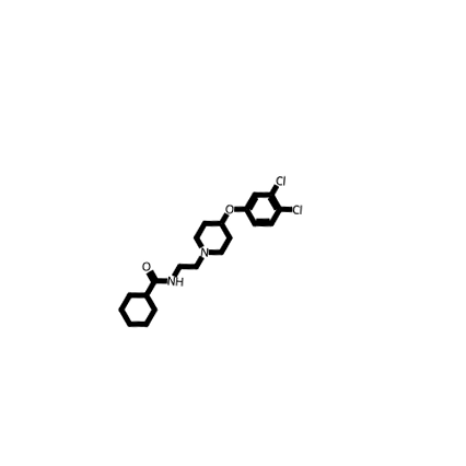 O=C(NCCN1CCC(Oc2ccc(Cl)c(Cl)c2)CC1)C1CCCCC1